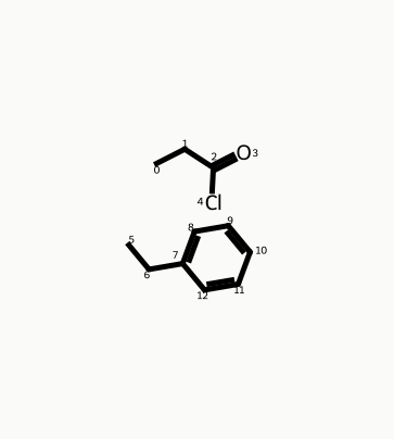 CCC(=O)Cl.CCc1ccccc1